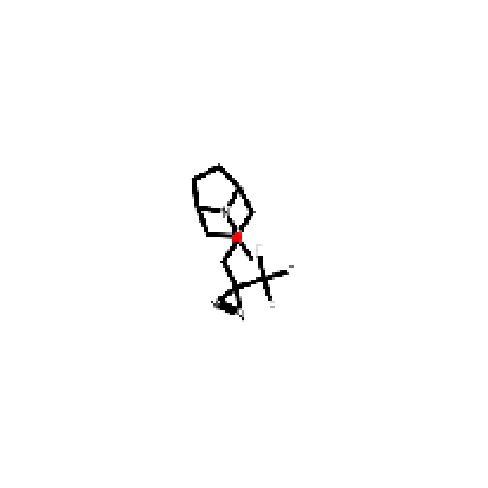 CN1CC2CCC(C1)N2CCC1(C(F)(F)F)N=N1